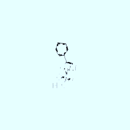 CS(=O)(=O)N1NC=C(c2ccccc2)O1